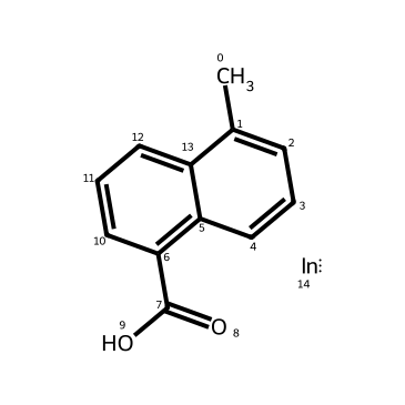 Cc1cccc2c(C(=O)O)cccc12.[In]